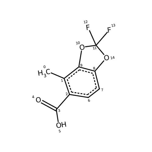 Cc1c(C(=O)O)ccc2c1OC(F)(F)O2